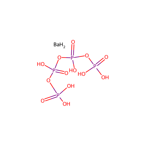 O=P(O)(O)OP(=O)(O)OP(=O)(O)OP(=O)(O)O.[BaH2]